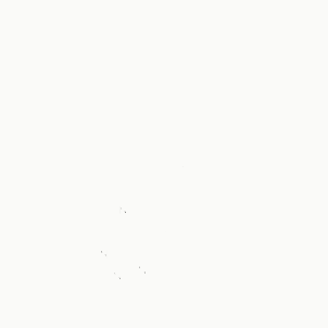 N#Cc1[nH]nnc1-c1cc(F)cc(OCc2ccc(Cl)c(F)c2)c1